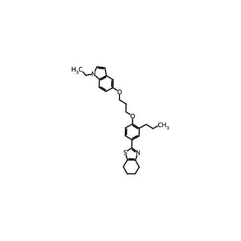 CCCc1cc(-c2nc3c(s2)CCCC3)ccc1OCCCOc1ccc2c(ccn2CC)c1